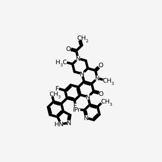 C=CC(=O)N1CC2C(=O)N(C)c3c(c4cc(F)c(-c5c(C)ccc6[nH]ncc56)c(F)c4n(-c4c(C)ccnc4C(C)C)c3=O)N2CC1C